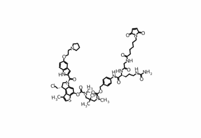 Cc1csc2c(OC(=O)N(C)CC(C)(C)CN(C)C(=O)OCc3ccc(NC(=O)[C@H](CCCNC(N)=O)NC(=O)CNC(=O)CCCCCN4C(=O)C=CC4=O)cc3)cc3c(c12)[C@H](CCl)CN3C(=O)c1cc2cc(OCCN3CCCC3)ccc2[nH]1